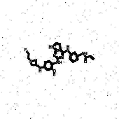 C=CC(=O)Nc1cccc(Nc2nc(Nc3ccc(NC4CN(CCF)C4)cc3OC)nc3[nH]ccc23)c1